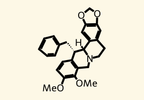 COc1ccc2c(c1OC)CN1CCc3cc4c(cc3[C@H]1[C@H]2Cc1ccccc1)OCO4